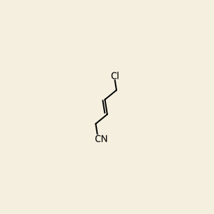 N#CCC=CCCl